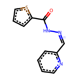 O=C(N/N=C\c1ccccn1)c1cccs1